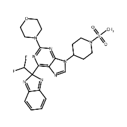 CS(=O)(=O)N1CCC(n2cnc3c(C4(C(F)F)N=c5ccccc5=N4)nc(N4CCOCC4)nc32)CC1